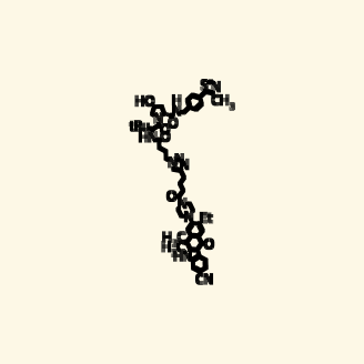 CCc1cc2c(cc1N1CCN(C(=O)CCCc3cn(CCCC(=O)NC(C(=O)N4C[C@H](O)C[C@H]4C(=O)NCc4ccc(-c5scnc5C)cc4)C(C)(C)C)nn3)CC1)C(C)(C)c1[nH]c3cc(C#N)ccc3c1C2=O